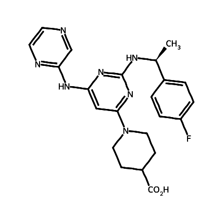 C[C@H](Nc1nc(Nc2cnccn2)cc(N2CCC(C(=O)O)CC2)n1)c1ccc(F)cc1